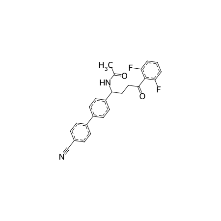 CC(=O)NC(CCC(=O)c1c(F)cccc1F)c1ccc(-c2ccc(C#N)cc2)cc1